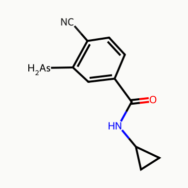 N#Cc1ccc(C(=O)NC2CC2)cc1[AsH2]